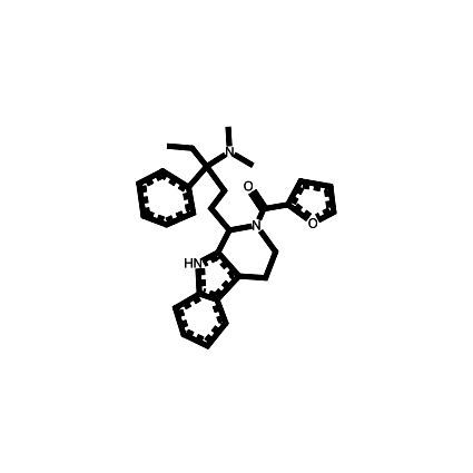 CCC(CCC1c2[nH]c3ccccc3c2CCN1C(=O)c1ccco1)(c1ccccc1)N(C)C